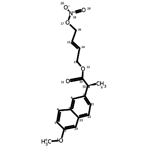 COc1ccc2cc([C@H](C)C(=O)OCC=CCO[N+](=O)[O-])ccc2c1